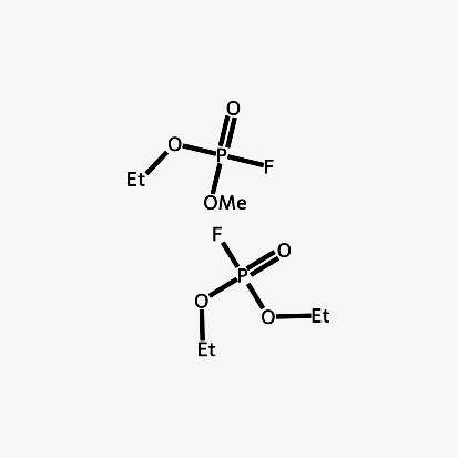 CCOP(=O)(F)OC.CCOP(=O)(F)OCC